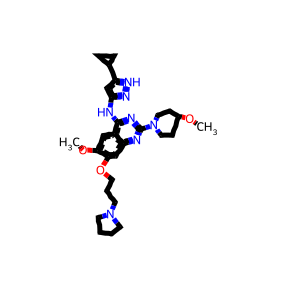 COc1cc2c(Nc3cc(C4CC4)[nH]n3)nc(N3CCC(OC)CC3)nc2cc1OCCCN1CCCC1